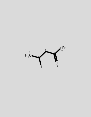 CCCC(=O)CC(C)I